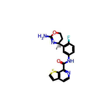 C[C@@]1(c2cc(NC(=O)c3nccc4ccsc34)ccc2F)CCOC(N)=N1